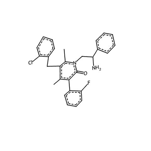 Cc1c(Cc2ccccc2Cl)c(C)n(CC(N)c2ccccc2)c(=O)c1-c1ccccc1F